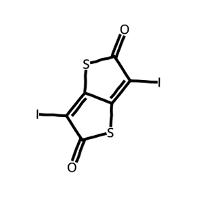 O=C1SC2=C(I)C(=O)SC2=C1I